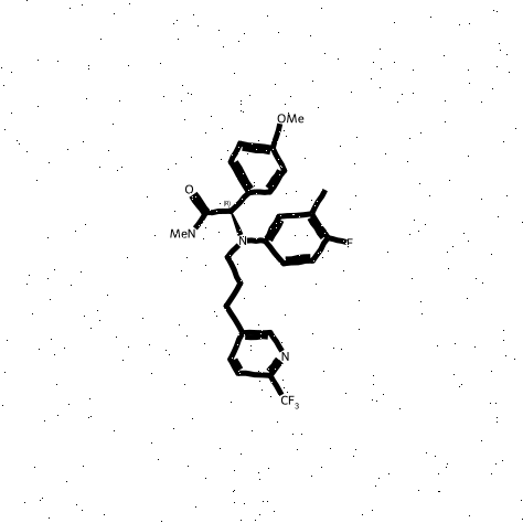 CNC(=O)[C@@H](c1ccc(OC)cc1)N(CCCc1ccc(C(F)(F)F)nc1)c1ccc(F)c(C)c1